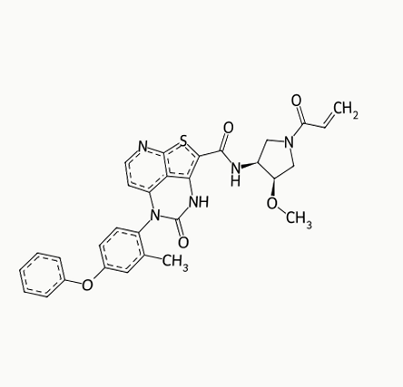 C=CC(=O)N1C[C@H](NC(=O)c2sc3nccc4c3c2NC(=O)N4c2ccc(Oc3ccccc3)cc2C)[C@H](OC)C1